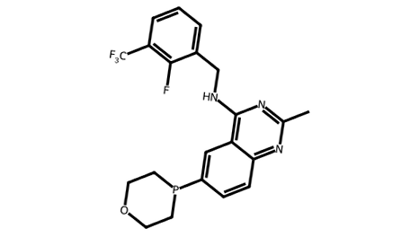 Cc1nc(NCc2cccc(C(F)(F)F)c2F)c2cc(P3CCOCC3)ccc2n1